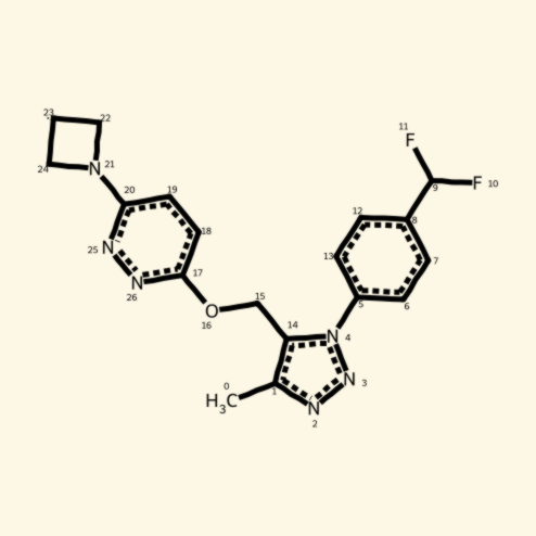 Cc1nnn(-c2ccc(C(F)F)cc2)c1COc1ccc(N2C[CH]C2)nn1